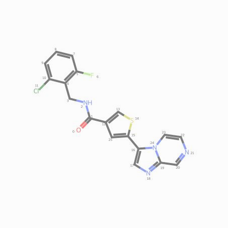 O=C(NCc1c(F)cccc1Cl)c1csc(-c2cnc3cnccn23)c1